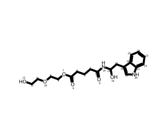 O=C(CCCC(=O)OCCOCCO)NC(O)Cc1c[nH]c2ccccc12